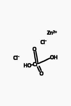 [Cl-].[Cl-].[O]=[Cr](=[O])([OH])[OH].[Zn+2]